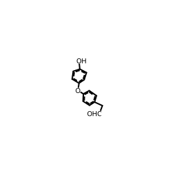 O=CCc1ccc(Oc2ccc(O)cc2)cc1